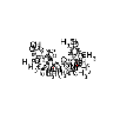 COc1ccc(C(CC(OC(=O)/C=C/C(=O)OC(CC(c2cccs2)c2ccc(OC)cc2OC)N(C(C)C)C(C)C)N(C(C)C)C(C)C)c2cccs2)c(OC)c1